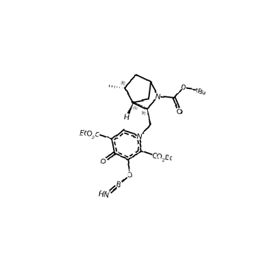 CCOC(=O)c1cn(C[C@H]2[C@H]3CC(C[C@H]3C)N2C(=O)OC(C)(C)C)c(C(=O)OCC)c(OB=N)c1=O